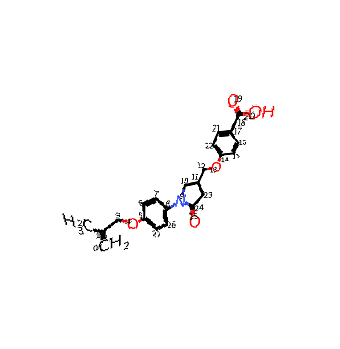 C=C(C)COc1ccc(N2CC(COc3ccc(C(=O)O)cc3)CC2=O)cc1